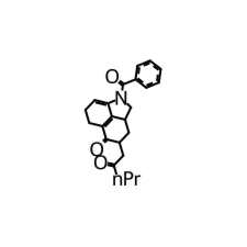 CCCC(=O)CC1CC2CN(C(=O)c3ccccc3)C3=CCCC(=C32)C1=O